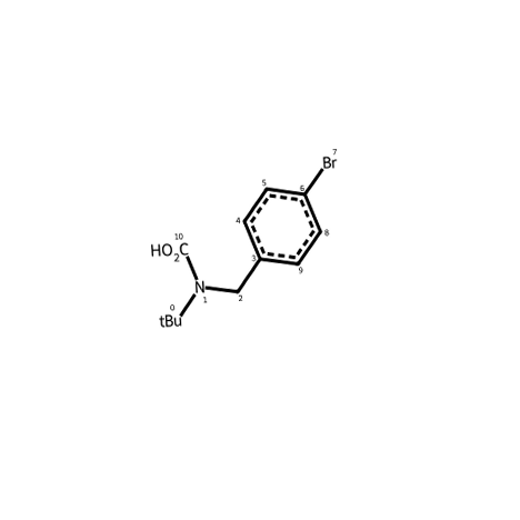 CC(C)(C)N(Cc1ccc(Br)cc1)C(=O)O